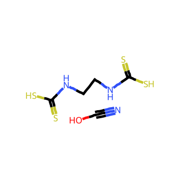 N#CO.S=C(S)NCCNC(=S)S